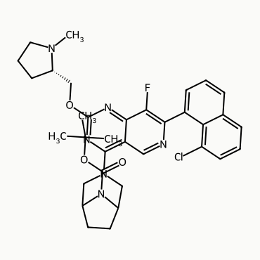 CN1CCC[C@H]1COc1nc(N2CC3CCC(C2)N3C(=O)OC(C)(C)C)c2cnc(-c3cccc4cccc(Cl)c34)c(F)c2n1